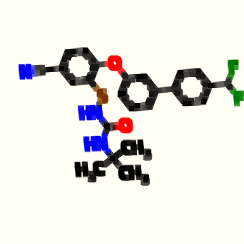 CC(C)(C)NC(=O)NSc1cc(C#N)ccc1Oc1cccc(-c2ccc(C(F)F)cc2)c1